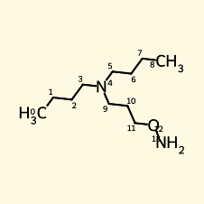 CCCCN(CCCC)CCCON